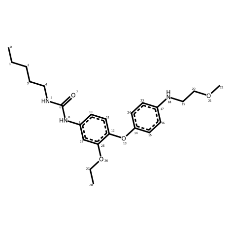 CCCCCNC(=O)Nc1ccc(Oc2ccc(NCCOC)cc2)c(OCC)c1